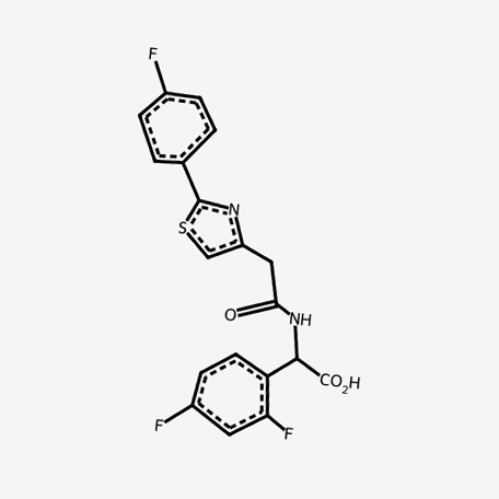 O=C(Cc1csc(-c2ccc(F)cc2)n1)NC(C(=O)O)c1ccc(F)cc1F